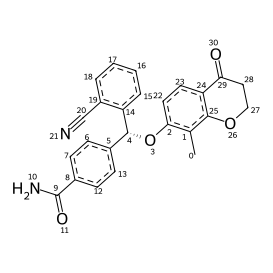 Cc1c(O[C@H](c2ccc(C(N)=O)cc2)c2ccccc2C#N)ccc2c1OCCC2=O